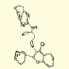 O=C(COc1c(-c2ccccc2)oc2ccccc2c1=O)Nc1nc2ccccc2s1